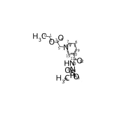 CCOC(=O)C[n+]1cccc(C(=O)NNS(C)(=O)=O)c1